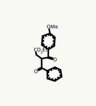 CCOC(=O)CC(C(=O)c1ccccc1)C(=O)c1ccc(OC)cc1